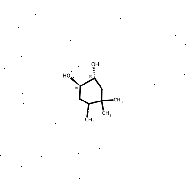 CC1C[C@@H](O)[C@H](O)CC1(C)C